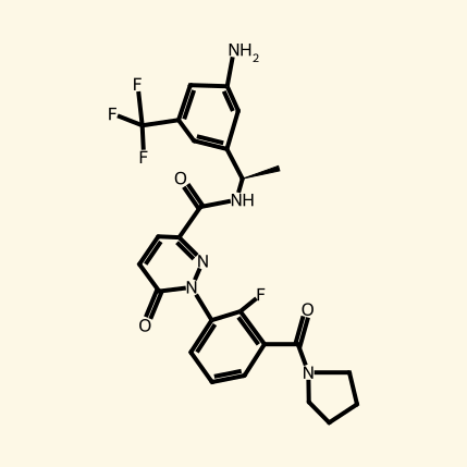 C[C@@H](NC(=O)c1ccc(=O)n(-c2cccc(C(=O)N3CCCC3)c2F)n1)c1cc(N)cc(C(F)(F)F)c1